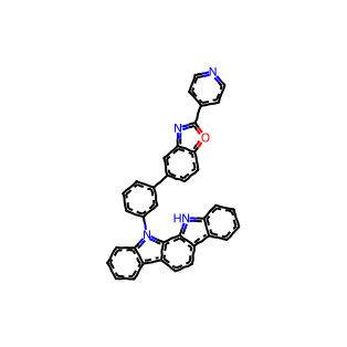 c1cc(-c2ccc3oc(-c4ccncc4)nc3c2)cc(-n2c3ccccc3c3ccc4c5ccccc5[nH]c4c32)c1